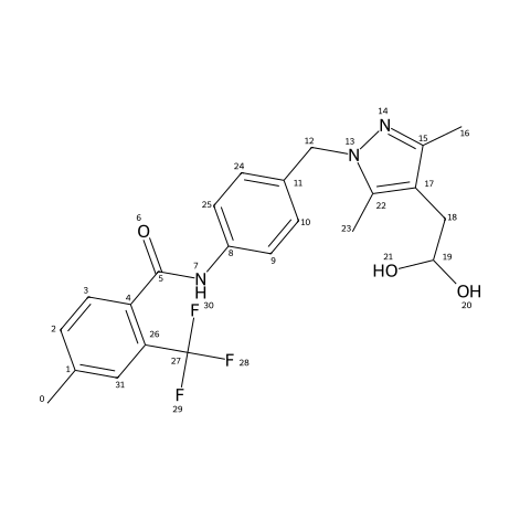 Cc1ccc(C(=O)Nc2ccc(Cn3nc(C)c(CC(O)O)c3C)cc2)c(C(F)(F)F)c1